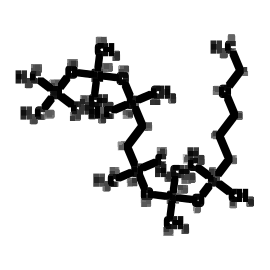 CCOCCC[Si](C)(C)O[Si](C)(C)O[Si](C)(C)CC[Si](C)(C)O[Si](C)(C)O[Si](C)(C)C